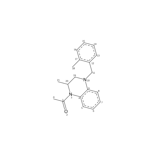 CC(=O)N1c2ccccc2N(Cc2ccccc2C)CC1C